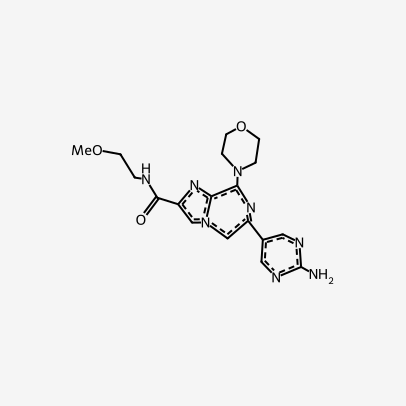 COCCNC(=O)c1cn2cc(-c3cnc(N)nc3)nc(N3CCOCC3)c2n1